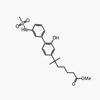 COC(=O)CCCCC(C)(C)c1ccc(-c2cccc(NS(C)(=O)=O)c2)c(O)c1